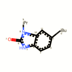 CCC(C)c1ccc2[nH]c(=O)n(C(C)C)c2c1